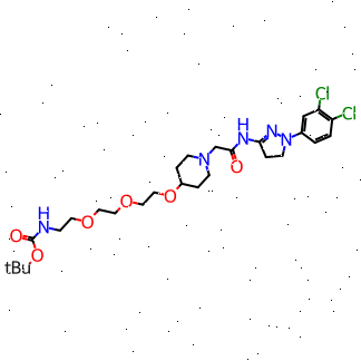 CC(C)(C)OC(=O)NCCOCCOCCOC1CCN(CC(=O)NC2=NN(c3ccc(Cl)c(Cl)c3)CC2)CC1